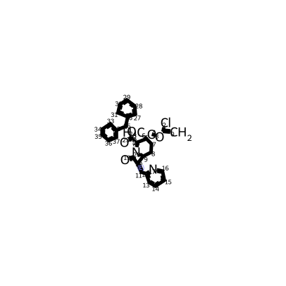 C=C(Cl)OOC1(C)CCC2/C(=C\c3ccccn3)C(=O)N2[C@H]1C(=O)OC(c1ccccc1)c1ccccc1